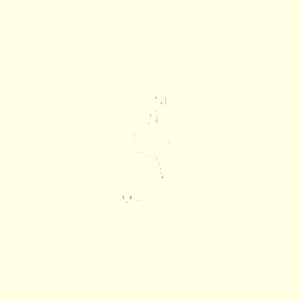 CSCC1CN(N)CO1